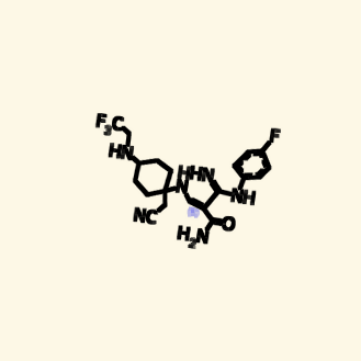 N#CCC1(N/C=C(\C(=N)Nc2ccc(F)cc2)C(N)=O)CCC(NCC(F)(F)F)CC1